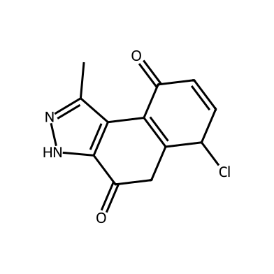 Cc1n[nH]c2c1C1=C(CC2=O)C(Cl)C=CC1=O